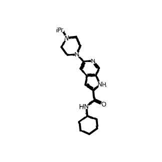 CC(C)N1CCN(c2cc3cc(C(=O)NC4CCCCC4)[nH]c3cn2)CC1